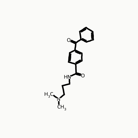 CN(C)CCCNC(=O)c1ccc(C(=O)c2ccccc2)cc1